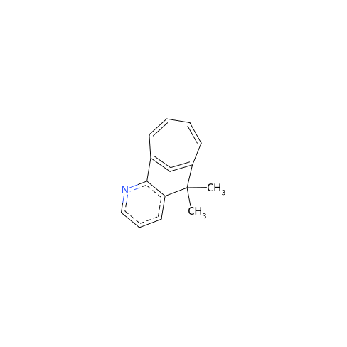 CC1(C)C2=C=C(C=CC=C2)c2ncccc21